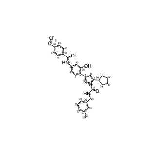 O=C(Nc1ccc(-c2cc(C3CCCC3)n(C(=O)NCc3cccc(F)c3)n2)c(O)c1)c1ccc(OC(F)(F)F)cc1